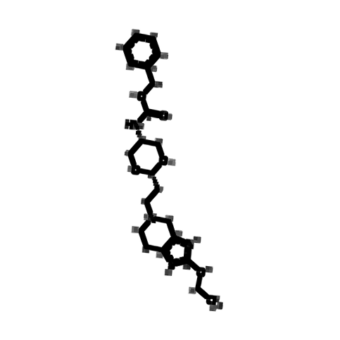 O=C(N[C@H]1CO[C@@H](CCN2CCc3sc(OCC(F)(F)F)nc3C2)OC1)OCc1ccccc1